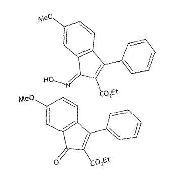 CCOC(=O)C1=C(c2ccccc2)c2ccc(OC)cc2C1=NO.CCOC(=O)C1=C(c2ccccc2)c2ccc(OC)cc2C1=O